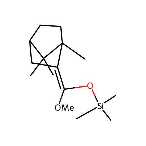 COC(O[Si](C)(C)C)=C1CC2CCC1(C)C2(C)C